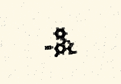 COC(=O)[C@@H]1CC(C)=CCN1[C@@H](C)c1ccccc1.Cl